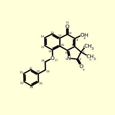 CC1(C)C(=O)N=C2C1=C(O)C(=O)c1cccc(OCCc3ccccc3)c12